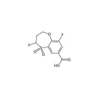 O=C(O)c1cc(F)c2c(c1)S(=O)(=O)C(F)CCO2